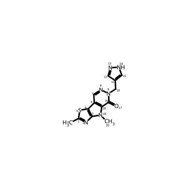 Cc1nc2c(s1)c1cnn(Cc3cn[nH]c3)c(=O)c1n2C